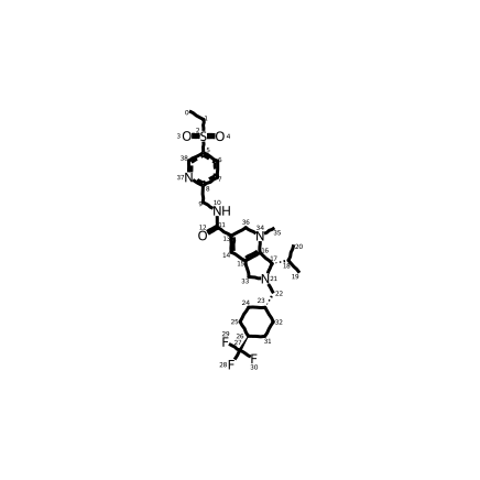 CCS(=O)(=O)c1ccc(CNC(=O)C2=CC3=C([C@H](C(C)C)N(C[C@H]4CC[C@H](C(F)(F)F)CC4)C3)N(C)C2)nc1